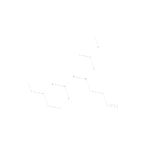 C=CC(O)CC(CC(C)CC)CC1CC[C@H](C)C(CC)C1